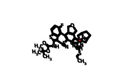 CCSc1nc(N2C3CCC2CN(C(=O)O)C3)c2c3c(c(-c4c(F)ccc5sc(NC(=O)OC(C)(C)C)c(C#N)c45)c(F)c2n1)COC3